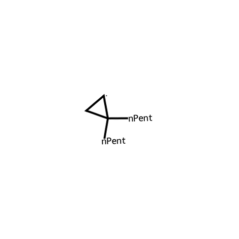 CCCCCC1(CCCCC)[CH]C1